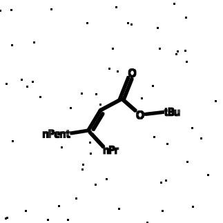 CCCCCC(=CC(=O)OC(C)(C)C)CCC